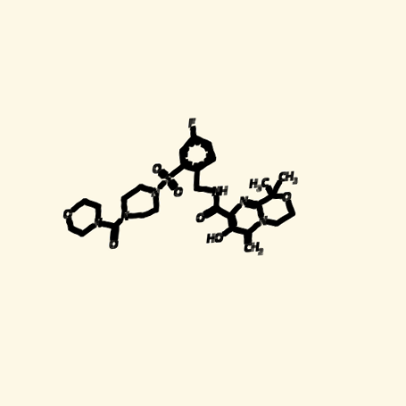 C=C1C(O)=C(C(=O)NCc2ccc(F)cc2S(=O)(=O)N2CCN(C(=O)N3CCOCC3)CC2)N=C2N1CCOC2(C)C